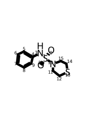 O=S(=O)(Nc1ccccc1)N1CCSCC1